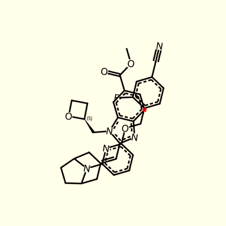 COC(=O)c1ccc2nc(C=C3CC4CCC(C3)N4c3cccc(OCc4ccc(C#N)cc4F)n3)n(C[C@@H]3CCO3)c2c1